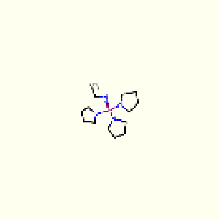 CCN=P(N1CCCC1)(N1CCCC1)N1CCCC1